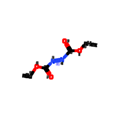 CCCCCCOC(=O)/N=N/C(=O)OCCCC